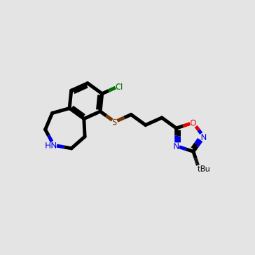 CC(C)(C)c1noc(CCCSc2c(Cl)ccc3c2CCNCC3)n1